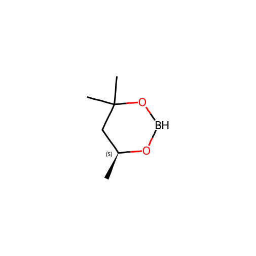 C[C@H]1CC(C)(C)OBO1